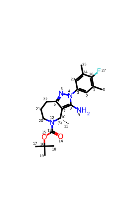 Cc1cc(-n2nc3c(c2N)[C@H](C)N(C(=O)OC(C)(C)C)CCC3)cc(C)c1F